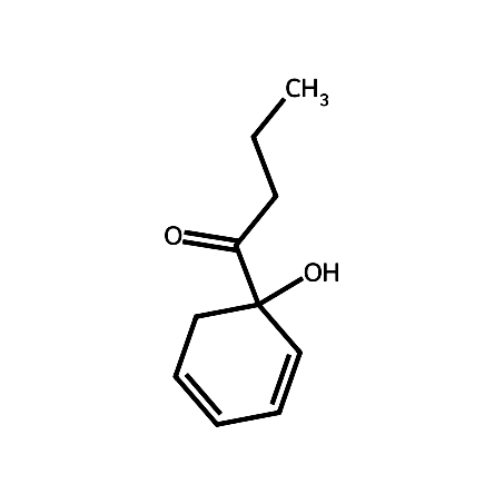 CCCC(=O)C1(O)C=CC=CC1